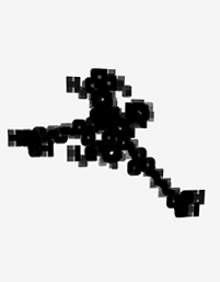 COc1ccccc1Oc1c(OCCOC(=O)OCCCCCCON(O)O)nc(-c2ncccn2)nc1N(COC(=O)OCCOCCON(O)O)S(=O)(=O)c1ccc(C(C)(C)C)cc1